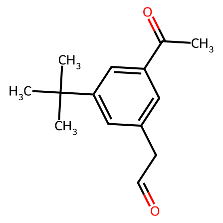 CC(=O)c1cc(CC=O)cc(C(C)(C)C)c1